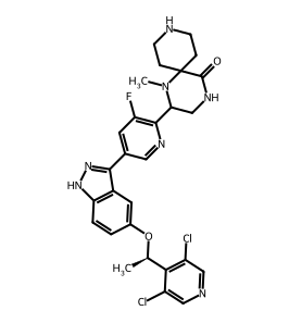 C[C@@H](Oc1ccc2[nH]nc(-c3cnc(C4CNC(=O)C5(CCNCC5)N4C)c(F)c3)c2c1)c1c(Cl)cncc1Cl